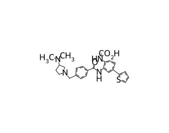 CN(C)C1CCN(Cc2ccc(C(=O)Nc3cc(-c4cccs4)ccc3NC(=O)O)cc2)C1